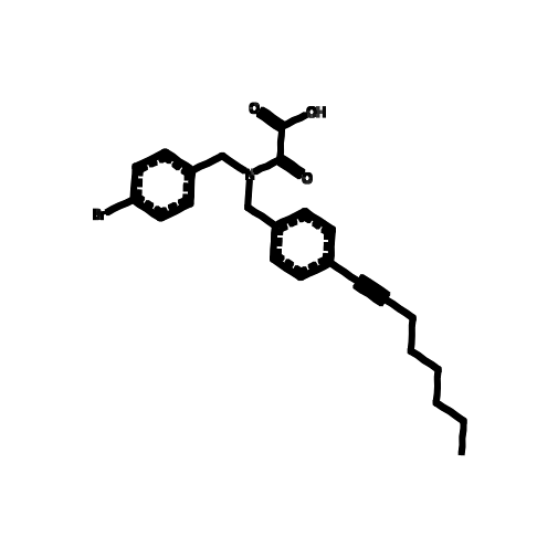 CCCCCCC#Cc1ccc(CN(Cc2ccc(Br)cc2)C(=O)C(=O)O)cc1